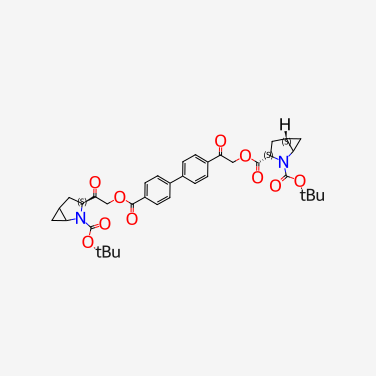 CC(C)(C)OC(=O)N1C2CC2C[C@H]1C(=O)COC(=O)c1ccc(-c2ccc(C(=O)COC(=O)[C@@H]3C[C@@H]4CC4N3C(=O)OC(C)(C)C)cc2)cc1